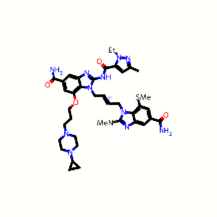 CCn1nc(C)cc1C(=O)Nc1nc2cc(C(N)=O)cc(OCCCN3CCN(C4CC4)CC3)c2n1C/C=C/Cn1c(NC)nc2cc(C(N)=O)cc(SC)c21